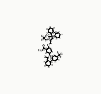 O=C(Nc1cnc(OCCCC2(C(=O)NCC(F)(F)F)c3ccccc3-c3ccccc32)c(C(=O)O)c1)c1ccccc1-c1ccc(C(F)(F)F)cc1